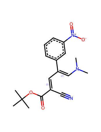 CN(C)/C=C(/C=C(\C#N)C(=O)OC(C)(C)C)c1cccc([N+](=O)[O-])c1